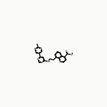 CNC(=O)c1ccnc2c(CCNc3cc(-c4cnc(C)nc4)ncn3)cccc12